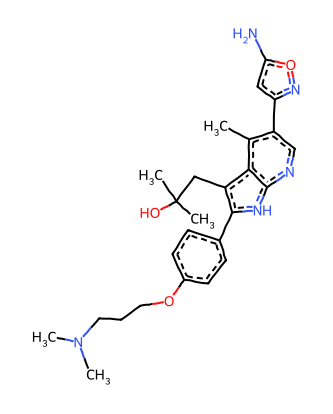 Cc1c(-c2cc(N)on2)cnc2[nH]c(-c3ccc(OCCCN(C)C)cc3)c(CC(C)(C)O)c12